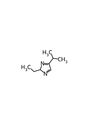 CCC1N=CC(C(C)C)=N1